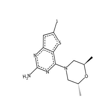 C[C@@H]1CN(c2nc(N)nc3cc(I)sc23)C[C@@H](C)O1